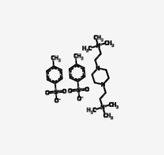 C[N+](C)(C)CCN1CCN(CC[N+](C)(C)C)CC1.Cc1ccc(S(=O)(=O)[O-])cc1.Cc1ccc(S(=O)(=O)[O-])cc1